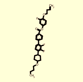 C=CCCOc1ccc(OC(=O)c2ccc(-c3ccc(C4CCC(OCCCC)CC4)c(F)c3F)cc2)cc1F